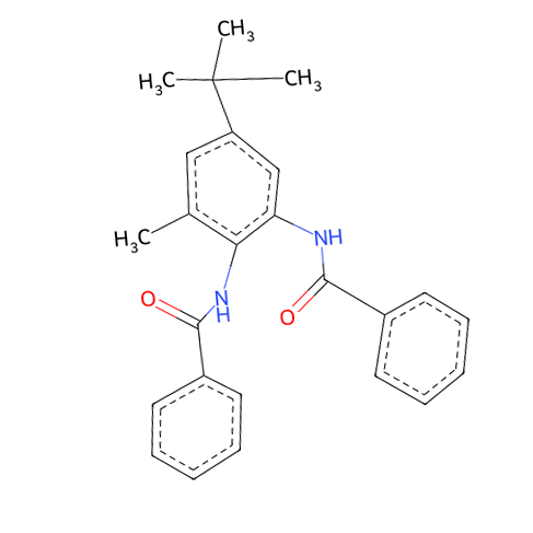 Cc1cc(C(C)(C)C)cc(NC(=O)c2ccccc2)c1NC(=O)c1ccccc1